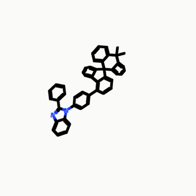 CC1(C)c2ccccc2C2(c3ccccc3-c3c(-c4ccc(-n5c(-c6ccccc6)nc6ccccc65)cc4)cccc32)c2ccccc21